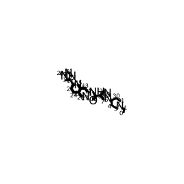 CCN1CCC(n2cc(C(=O)Nc3cc4nc(-c5cn(C)nn5)ccc4cn3)cn2)CC1